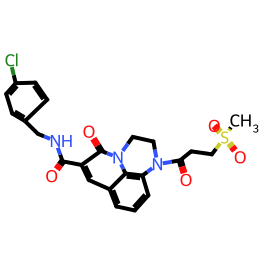 CS(=O)(=O)CCC(=O)N1CCn2c(=O)c(C(=O)NCc3ccc(Cl)cc3)cc3cccc1c32